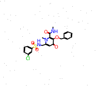 CNC(=O)c1c(OCc2ccccc2)c(=O)cc(CNS(=O)(=O)c2cccc(Cl)c2)n1C